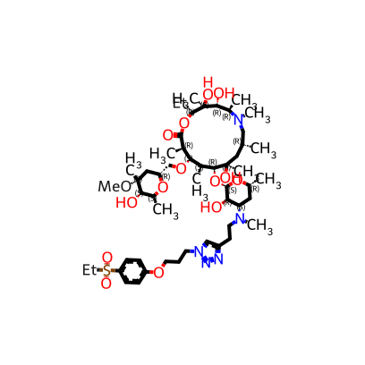 CC[C@H]1OC(=O)[C@H](C)[C@@H](OC[C@H]2C[C@@](C)(OC)[C@@H](O)[C@H](C)O2)[C@H](C)[C@@H](O[C@@H]2O[C@H](C)C[C@H](N(C)CCc3cn(CCCOc4ccc(S(=O)(=O)CC)cc4)nn3)[C@H]2O)[C@](C)(O)C[C@@H](C)CN(C)[C@H](C)[C@@H](O)[C@]1(C)O